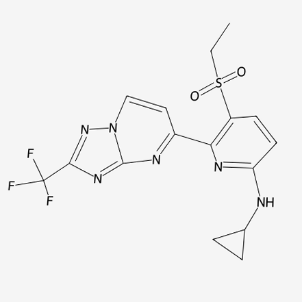 CCS(=O)(=O)c1ccc(NC2CC2)nc1-c1ccn2nc(C(F)(F)F)nc2n1